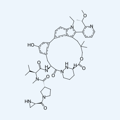 CCn1c(-c2cccnc2[C@H](C)OC)c2c3cc(ccc31)-c1cc(O)cc(c1)C[C@H](NC(=O)[C@H](C(C)C)N(C)C(=O)[C@@H]1CCN(C(=O)[C@H]3CN3)C1)C(=O)N1CCC[C@H](N1)C(=O)OCC(C)(C)C2